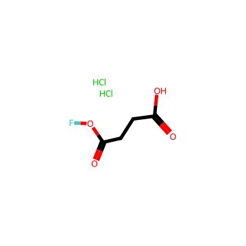 Cl.Cl.O=C(O)CCC(=O)OF